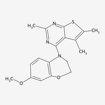 COc1ccc2c(c1)OCCN2c1nc(C)nc2sc(C)c(C)c12